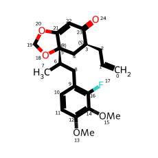 C=CC[C@H]1C[C@]2(C(C)Cc3ccc(OC)c(OC)c3F)OCOC2=CC1=O